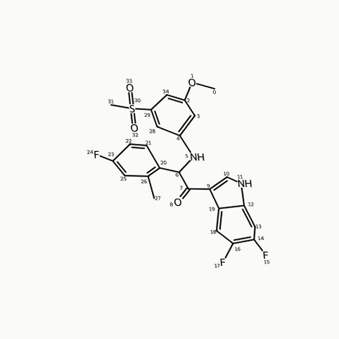 COc1cc(NC(C(=O)c2c[nH]c3cc(F)c(F)cc23)c2ccc(F)cc2C)cc(S(C)(=O)=O)c1